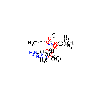 CCCCCCOC(=O)[C@H](Cc1ccccc1)NP(=O)(OC[C@H]1O[C@@](C=NC)(c2ccc3c(N)ncnn23)[C@@H]2OC(C)(C)O[C@@H]21)Oc1ccc(C(C)(C)C)cc1